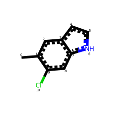 Cc1cc2cc[nH]c2cc1Cl